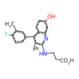 Cc1cc(-c2c(C(C)C)c(NCCC(=O)O)nc3cc(O)ccc23)ccc1F